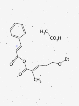 CC(=O)O.CCOCCC=C(C)C(=O)OC(=O)/C=C/c1ccccc1